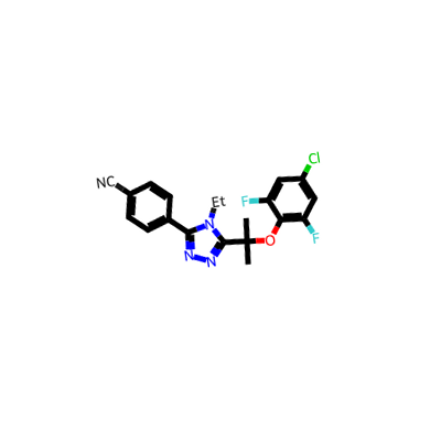 CCn1c(-c2ccc(C#N)cc2)nnc1C(C)(C)Oc1c(F)cc(Cl)cc1F